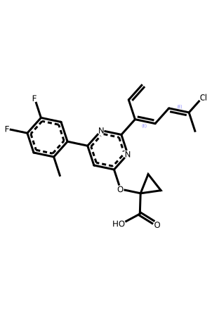 C=C/C(=C\C=C(/C)Cl)c1nc(OC2(C(=O)O)CC2)cc(-c2cc(F)c(F)cc2C)n1